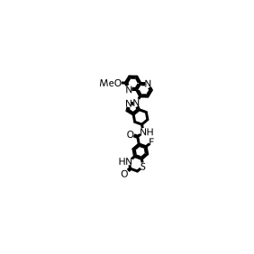 COc1ccc2nccc(-n3ncc4c3CCC(NC(=O)c3cc5c(cc3F)SCC(=O)N5)C4)c2n1